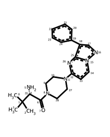 CC(C)(C)[C@H](N)C(=O)N1CCN(c2ccn3ncc(-c4ccccc4)c3n2)CC1